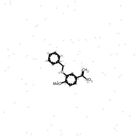 C=C(c1ccc(OC)c(OCc2ccccc2)c1)[N+](=O)[O-]